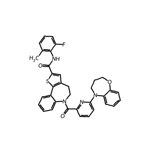 Cc1cccc(F)c1NC(=O)c1cc2c(s1)-c1ccccc1N(C(=O)c1cccc(N3CCCOc4ccccc43)n1)CC2